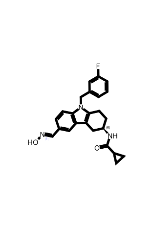 O=C(N[C@@H]1CCc2c(c3cc(/C=N/O)ccc3n2Cc2cccc(F)c2)C1)C1CC1